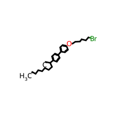 CCCCCC1CCC(c2ccc(-c3ccc(OCCCCCCBr)cc3)cc2)CC1